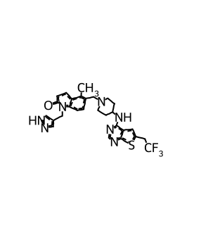 Cc1c(CN2CCC(Nc3ncnc4sc(CC(F)(F)F)cc34)CC2)ccc2c1ccc(=O)n2Cc1cn[nH]c1